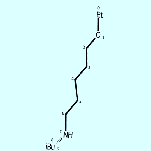 CCOCCCCCN[C@@H](C)CC